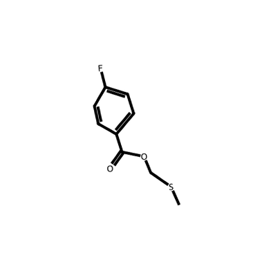 CSCOC(=O)c1ccc(F)cc1